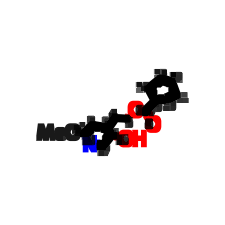 COc1cc(CCOC(=O)c2ccccc2)c(O)cn1